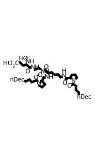 CCCCCCCCCCCCCC(=O)N1CCCC1C(=O)NCCCCC(NC(=O)C1CCCN1C(=O)CCCCCCCCCCCCC)C(=O)NCCNC(=O)C(CCC(=O)O)NO